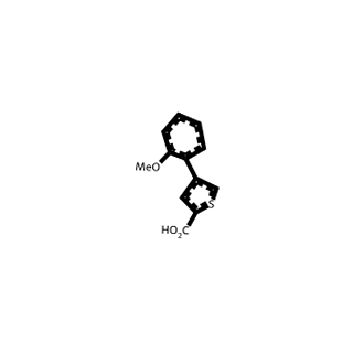 COc1ccccc1-c1csc(C(=O)O)c1